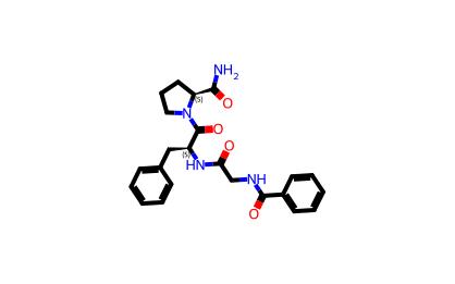 NC(=O)[C@@H]1CCCN1C(=O)[C@H](Cc1ccccc1)NC(=O)CNC(=O)c1ccccc1